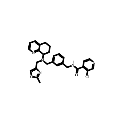 Cc1nc(CN(Cc2cccc(CNC(=O)c3ccncc3Cl)c2)C2CCCc3cccnc32)co1